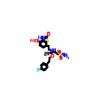 CCC(CCS(N)(=O)=O)(NCCc1ccc(O)c2[nH]c(=O)sc12)OCCc1ccc(F)cc1